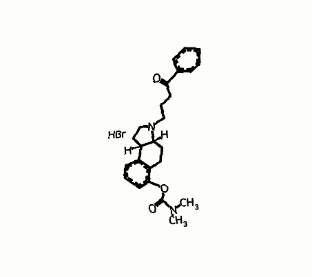 Br.CN(C)C(=O)Oc1cccc2c1CC[C@@H]1[C@H]2CCN1CCCC(=O)c1ccccc1